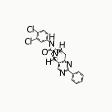 O=C(Nc1ccc(Cl)c(Cl)c1)N1[C@@H]2CC[C@H]1c1cnc(-c3ccccc3)nc1C2